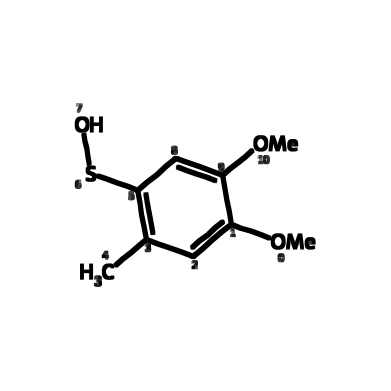 COc1cc(C)c(SO)cc1OC